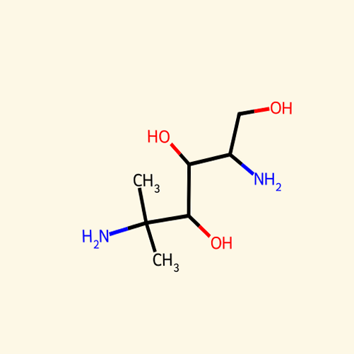 CC(C)(N)C(O)C(O)C(N)CO